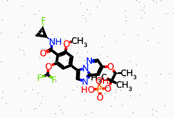 COc1cc(-c2cnc3cc(O[C@@H](C)C(C)(C)OP(=O)(O)O)cnn23)cc(OC(F)F)c1C(=O)N[C@@H]1C[C@@H]1F